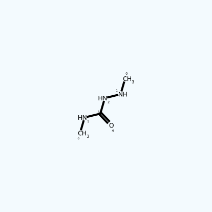 CNNC(=O)NC